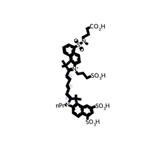 CCCN1/C(=C/C=C/C=C/C2=[N+](CCCS(=O)(=O)O)c3ccc4c(S(=O)(=O)N(C)CCCC(=O)O)cccc4c3C2(C)C)C(C)(C)c2c1ccc1c(S(=O)(=O)O)cc(S(=O)(=O)O)cc21